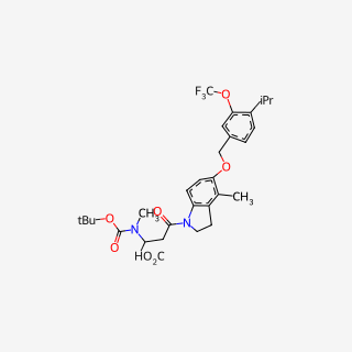 Cc1c(OCc2ccc(C(C)C)c(OC(F)(F)F)c2)ccc2c1CCN2C(=O)CC(C(=O)O)N(C)C(=O)OC(C)(C)C